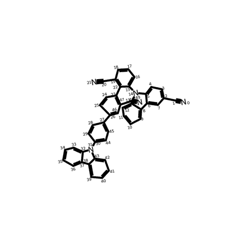 N#Cc1ccc2c(c1)c1ccccc1n2-c1cccc(C#N)c1-c1ccc(-c2ccc(-n3c4ccccc4c4ccccc43)cc2)cc1C#N